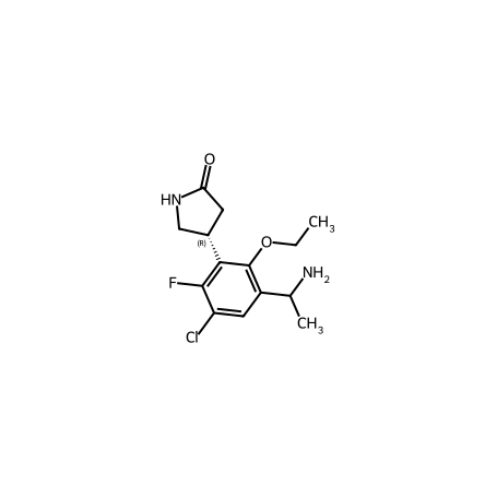 CCOc1c(C(C)N)cc(Cl)c(F)c1[C@@H]1CNC(=O)C1